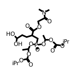 CC(C)OC(=O)OC(C)OP(=O)(CC(CCC(O)O)C(=O)OCC(=O)N(C)C)OC(C)OC(=O)OC(C)C